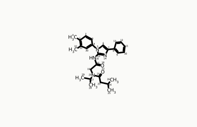 Cc1ccc(-n2cc(-c3ccccc3)nc2NC(=O)CN(C(=O)CC(C)C)C(C)C)cc1C